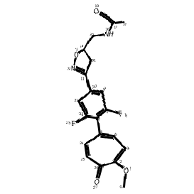 COc1ccc(-c2c(F)cc(C3=NOC(CNC(C)=O)C3)cc2F)ccc1=O